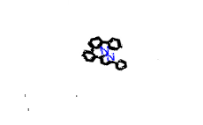 c1ccc(-c2ccc3c(n2)-n2c4ccccc4c4cccc(c42)-c2ccccc2-3)cc1